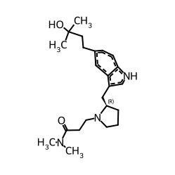 CN(C)C(=O)CCN1CCC[C@@H]1Cc1c[nH]c2ccc(CCC(C)(C)O)cc12